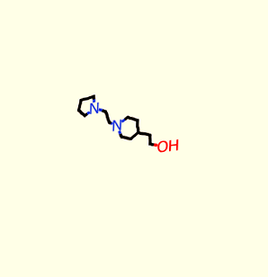 OCCC1CCN(CCN2CCCC2)CC1